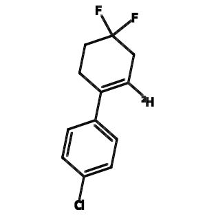 [2H]C1=C(c2ccc(Cl)cc2)CCC(F)(F)C1